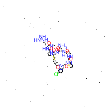 CCNC(=O)[C@@H](CCCNC(=N)N)NC(=O)[C@@H]1CCCN1C(=O)[C@@H]1CSCCCC(=O)N[C@@H](Cc2ccc(Cl)cc2)C(=O)N[C@@H](Cc2cccs2)C(=O)N[C@@H](C(C)C)C(=O)N[C@@H](CC(N)=O)C(=O)N1